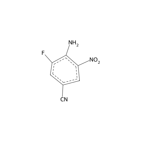 N#Cc1cc(F)c(N)c([N+](=O)[O-])c1